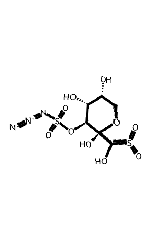 [N-]=[N+]=NS(=O)(=O)O[C@H]1[C@H](O)[C@H](O)CO[C@]1(O)C(O)=S(=O)=O